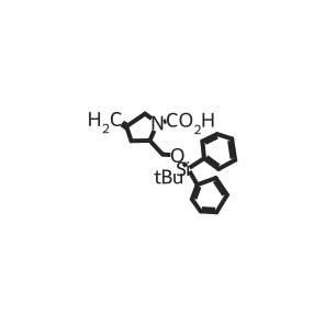 C=C1CC(CO[Si](c2ccccc2)(c2ccccc2)C(C)(C)C)N(C(=O)O)C1